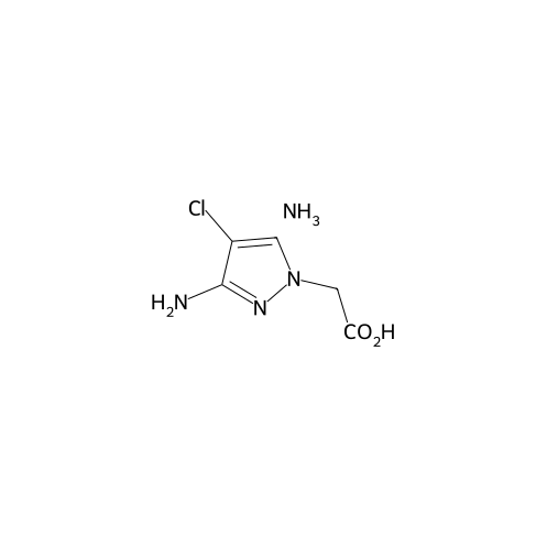 N.Nc1nn(CC(=O)O)cc1Cl